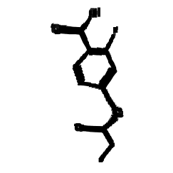 CCC(=O)Oc1ccc(C(=O)O)c(F)c1